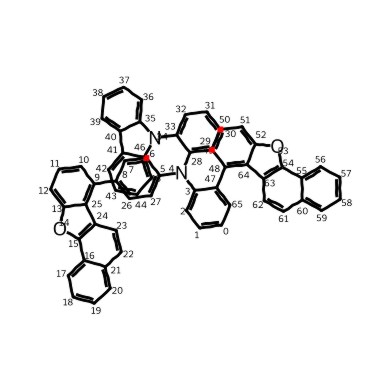 c1ccc(N(c2ccc(-c3cccc4oc5c6ccccc6ccc5c34)cc2)c2ccccc2-n2c3ccccc3c3ccccc32)c(-c2cccc3oc4c5ccccc5ccc4c23)c1